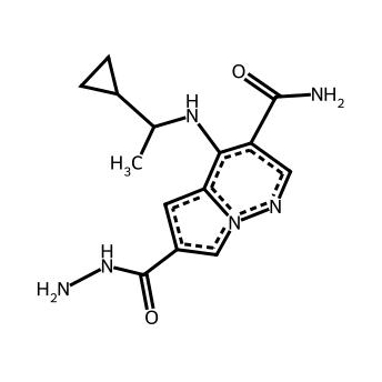 CC(Nc1c(C(N)=O)cnn2cc(C(=O)NN)cc12)C1CC1